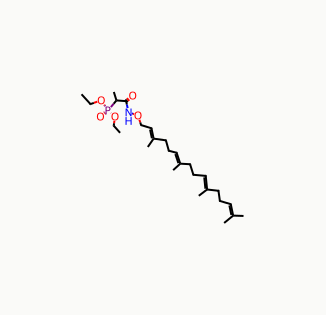 CCOP(=O)(OCC)C(C)C(=O)NOC/C=C(\C)CC/C=C(\C)CC/C=C(\C)CCC=C(C)C